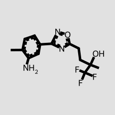 Cc1ccc(-c2noc(CCC(C)(O)C(F)(F)F)n2)cc1N